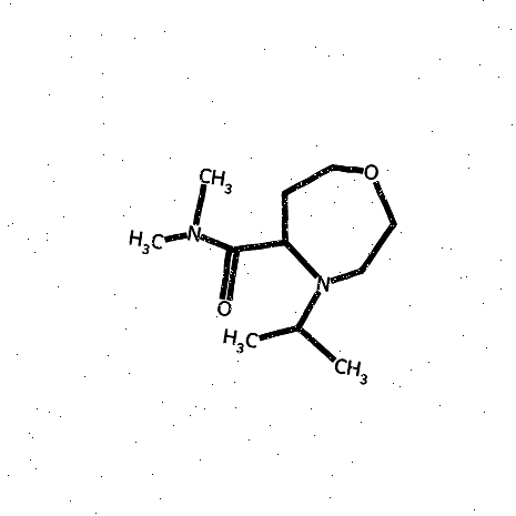 CC(C)N1CCOCCC1C(=O)N(C)C